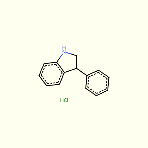 Cl.c1ccc(C2CNc3ccccc32)cc1